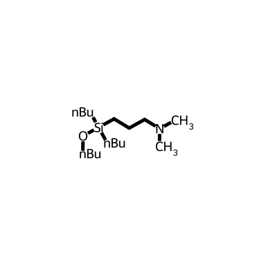 CCCCO[Si](CCCC)(CCCC)CCCN(C)C